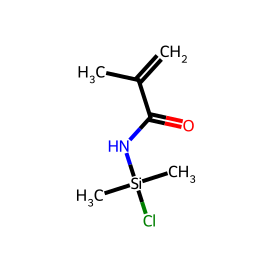 C=C(C)C(=O)N[Si](C)(C)Cl